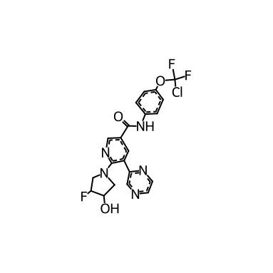 O=C(Nc1ccc(OC(F)(F)Cl)cc1)c1cnc(N2CC(O)C(F)C2)c(-c2cnccn2)c1